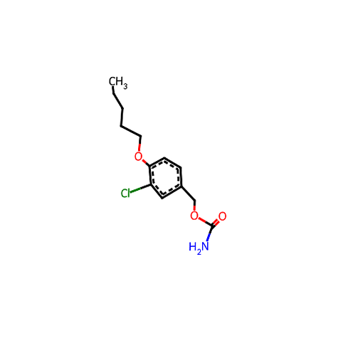 CCCCCOc1ccc(COC(N)=O)cc1Cl